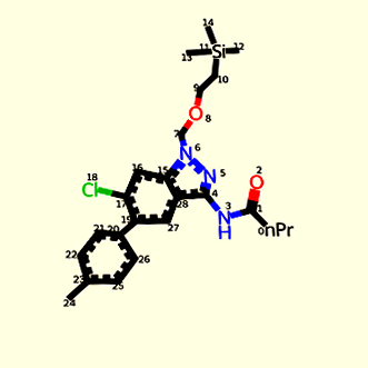 CCCC(=O)Nc1nn(COCC[Si](C)(C)C)c2cc(Cl)c(-c3ccc(C)cc3)cc12